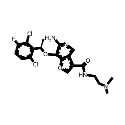 C[C@@H](Oc1c(N)ncc2c(C(=O)NCCN(C)C)coc12)c1c(Cl)ccc(F)c1Cl